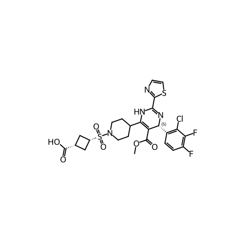 COC(=O)C1=C(C2CCN(S(=O)(=O)[C@H]3C[C@@H](C(=O)O)C3)CC2)NC(c2nccs2)=N[C@@H]1c1ccc(F)c(F)c1Cl